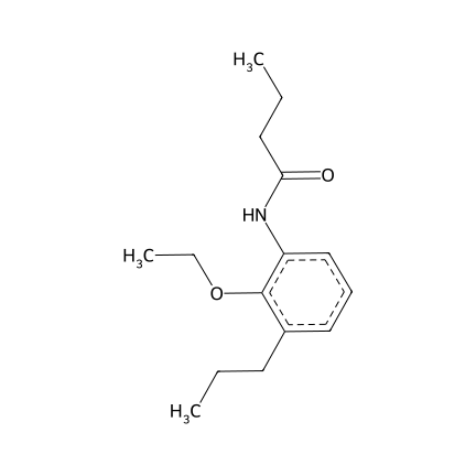 CCCC(=O)Nc1cccc(CCC)c1OCC